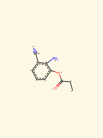 CCC(=O)Oc1cccc(C#N)c1N